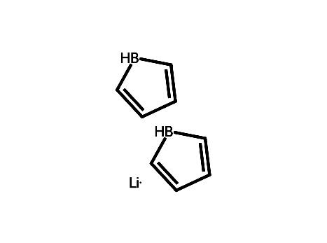 B1C=CC=C1.B1C=CC=C1.[Li]